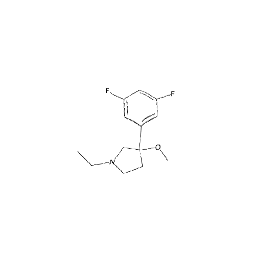 CCN1CCC(OC)(c2cc(F)cc(F)c2)C1